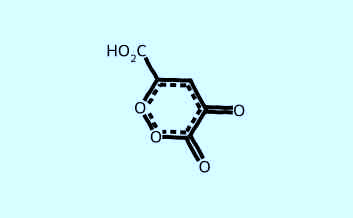 O=C(O)c1cc(=O)c(=O)oo1